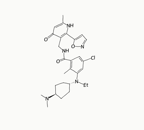 CCN(c1cc(Cl)cc(C(=O)NCc2c(-c3ccno3)[nH]c(C)cc2=O)c1C)[C@H]1CC[C@H](N(C)C)CC1